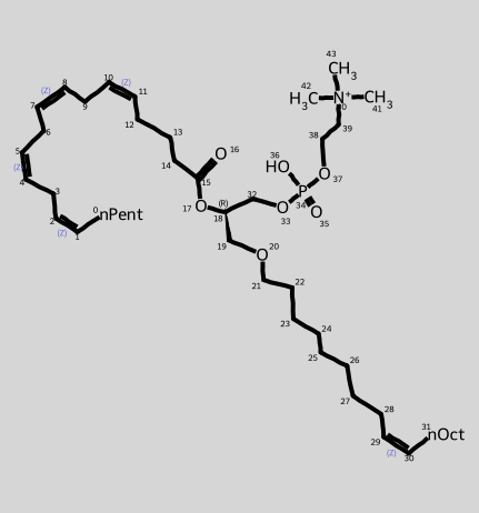 CCCCC/C=C\C/C=C\C/C=C\C/C=C\CCCC(=O)O[C@H](COCCCCCCCC/C=C\CCCCCCCC)COP(=O)(O)OCC[N+](C)(C)C